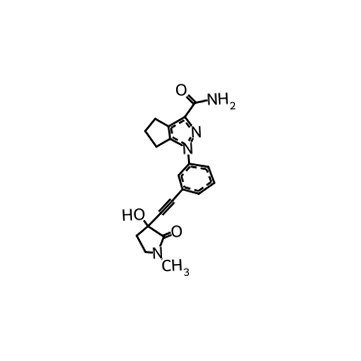 CN1CCC(O)(C#Cc2cccc(-n3nc(C(N)=O)c4c3CCC4)c2)C1=O